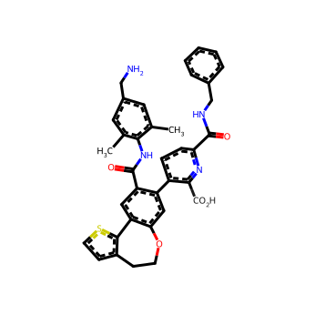 Cc1cc(CN)cc(C)c1NC(=O)c1cc2c(cc1-c1ccc(C(=O)NCc3ccccc3)nc1C(=O)O)OCCc1ccsc1-2